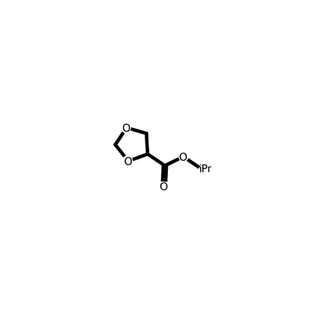 CC(C)OC(=O)C1COCO1